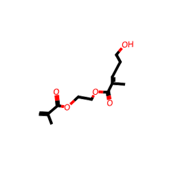 C=C(C)C(=O)OCCOC(=O)C(C)=CCCO